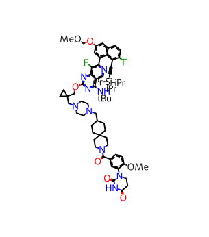 COCOc1cc(-c2ncc3c(NC(C)(C)C)nc(OCC4(CN5CCN(CC6CCC7(CC6)CCN(C(=O)c6ccc(OC)c(N8CCC(=O)NC8=O)c6)CC7)CC5)CC4)nc3c2F)c2c(C#C[Si](C(C)C)(C(C)C)C(C)C)c(F)ccc2c1